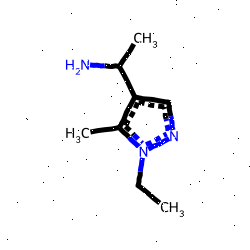 CCn1ncc(C(C)N)c1C